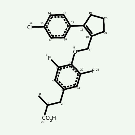 CC(Cc1cc(F)c(OCC2=C(c3ccc(Cl)cc3)CCC2)c(F)c1)C(=O)O